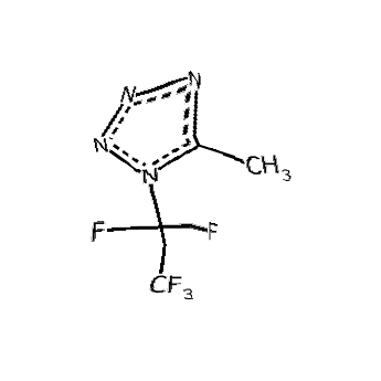 Cc1nnnn1C(F)(F)C(F)(F)F